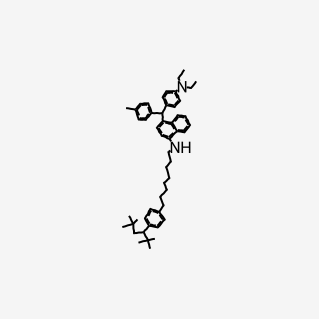 CCN(CC)c1ccc(C(c2ccc(C)cc2)c2ccc(NCCCCCCCCc3ccc(C(CC(C)(C)C)C(C)(C)C)cc3)c3ccccc23)cc1